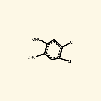 O=Cc1cc(Cl)c(Cl)cc1C=O